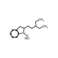 CCN(CC)CCN1Cc2ccccc2[S+]1[O-].Cl